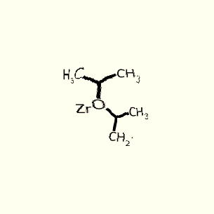 [CH2]C(C)OC(C)C.[Zr]